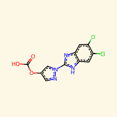 O=C(O)Oc1cnn(-c2nc3cc(Cl)c(Cl)cc3[nH]2)c1